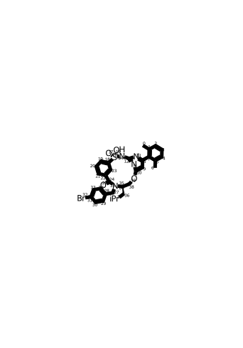 Cc1cccc(C)c1-c1cc2nc(n1)NS(=O)(=O)c1cccc(c1)C(=O)N(Cc1ccc(Br)cc1)[C@H](CC(C)C)CO2